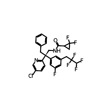 O=C(NC[C@@](Cc1ccccc1)(c1cc(F)cc(CC(F)(F)C(F)F)c1)c1ccc(Cl)cn1)C1CC1(F)F